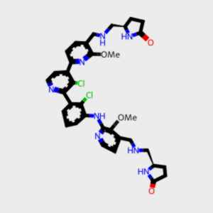 COc1nc(-c2ccnc(-c3cccc(Nc4nccc(CNC[C@H]5CCC(=O)N5)c4OC)c3Cl)c2Cl)ccc1CNC[C@H]1CCC(=O)N1